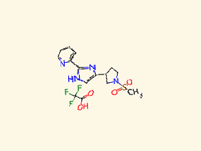 CS(=O)(=O)N1CCC(c2c[nH]c(-c3ccccn3)n2)C1.O=C(O)C(F)(F)F